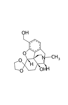 CN1CC[C@]23c4c5ccc(CO)c4O[C@H]2C2(CC[C@@]3(O)[C@H]1C5)OCCO2